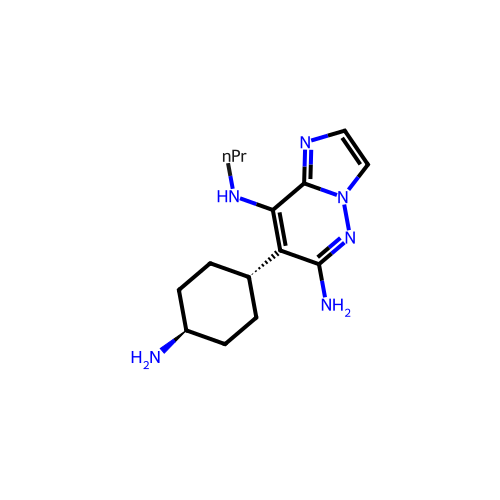 CCCNc1c2nccn2nc(N)c1[C@H]1CC[C@H](N)CC1